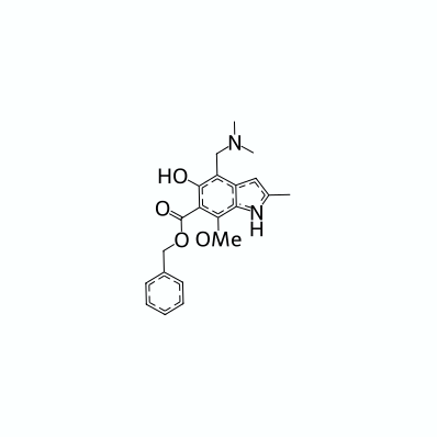 COc1c(C(=O)OCc2ccccc2)c(O)c(CN(C)C)c2cc(C)[nH]c12